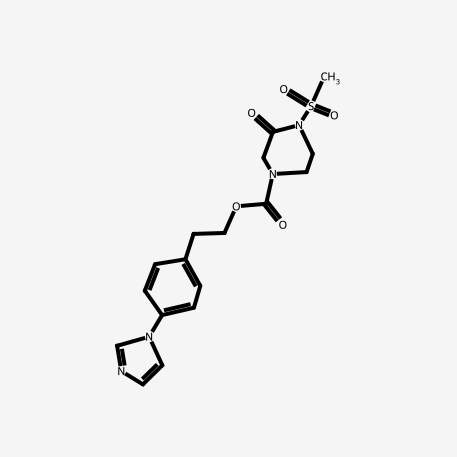 CS(=O)(=O)N1CCN(C(=O)OCCc2ccc(-n3ccnc3)cc2)CC1=O